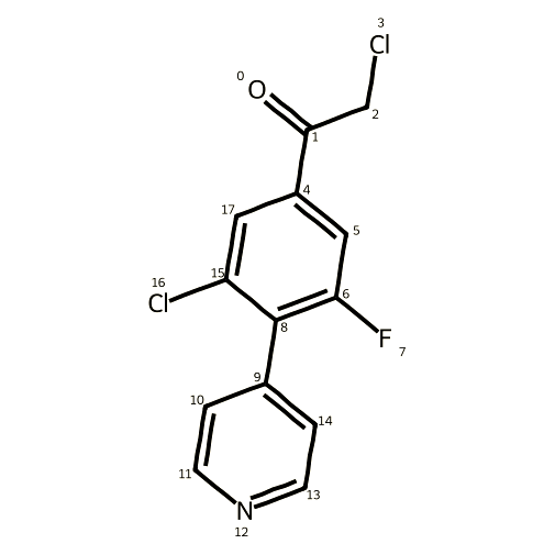 O=C(CCl)c1cc(F)c(-c2ccncc2)c(Cl)c1